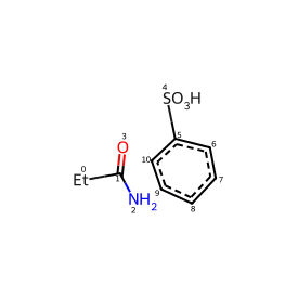 CCC(N)=O.O=S(=O)(O)c1ccccc1